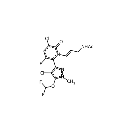 CC(=O)NCC=Cn1c(-c2nn(C)c(OC(F)F)c2Cl)c(F)cc(Cl)c1=O